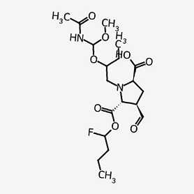 CCCC(F)OC(=O)[C@H]1[C@H](C=O)C[C@H](C(=O)O)N1CC(CC)OC(NC(C)=O)OC